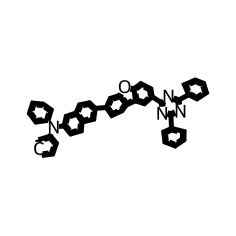 c1ccc(-c2nc(-c3ccccc3)nc(-c3ccc4oc5cc(-c6ccc7cc(N(c8ccccc8)c8ccccc8)ccc7c6)ccc5c4c3)n2)cc1